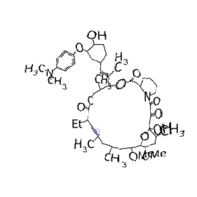 CCC1/C=C(\C)CC(C)CC(OC)C2OC(O)(C(=O)C(=O)N3CCCCC3C(=O)OC(C(C)=CC3CCC(O)C(Oc4ccc(N(C)C)cc4)C3)C(C)CCC1=O)C(C)CC2OC